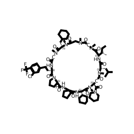 CC[C@H](C)[C@@H]1NC(=O)[C@H](CC(C)C)N(C)C(=O)C[C@@H](C(=O)N2CCCCC2)N(C)C(=O)[C@H](C2CCCCC2)NC(=O)C2(CCCC2)NC(=O)[C@@H]2CCCN2C(=O)[C@H](CCc2ccc(C(F)(F)F)c(Cl)c2)NC(=O)CN(C)C(=O)[C@H](CC2CCCCC2)N(C)C(=O)CN(C)C(=O)CN(C)C1=O